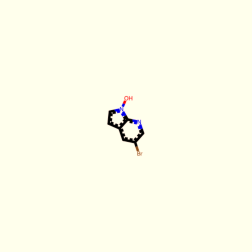 On1ccc2cc(Br)cnc21